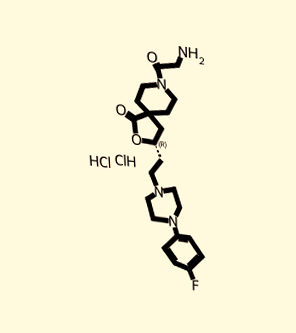 Cl.Cl.NCC(=O)N1CCC2(CC1)C[C@H](CCN1CCN(c3ccc(F)cc3)CC1)OC2=O